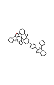 c1ccc(-n2c(-c3ccc(-c4ccc5c(c4)Oc4ccccc4C54c5ccccc5-n5c6ccccc6c6cccc4c65)cc3)nc3ccccc32)cc1